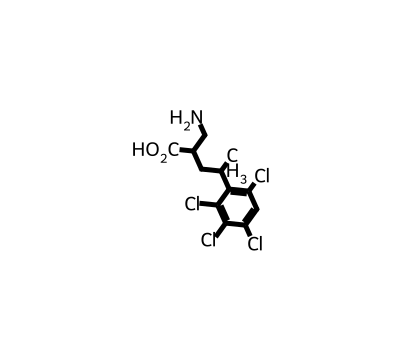 CC(CC(CN)C(=O)O)c1c(Cl)cc(Cl)c(Cl)c1Cl